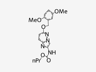 CCCOC(=O)Nc1cn2nc(OCc3cc(OC)ccc3OC)ccc2n1